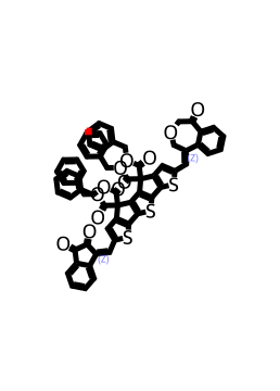 O=C1C(=O)c2ccccc2/C1=C/c1cc2c(s1)-c1sc3c(c1C2(C(=O)OCc1ccccc1)C(=O)OCc1ccccc1)C(C(=O)OCc1ccccc1)(C(=O)OCc1ccccc1)c1cc(/C=C2\COCC(=O)c4ccccc42)sc1-3